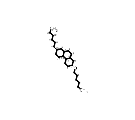 CCCCCCO[C@@H]1CCC2C(CCC3C[C@H](CCCCCC)CCC32)C1